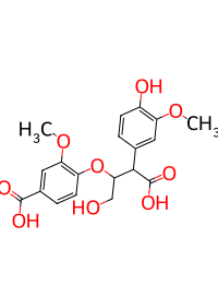 COc1cc(C(C(=O)O)C(CO)Oc2ccc(C(=O)O)cc2OC)ccc1O